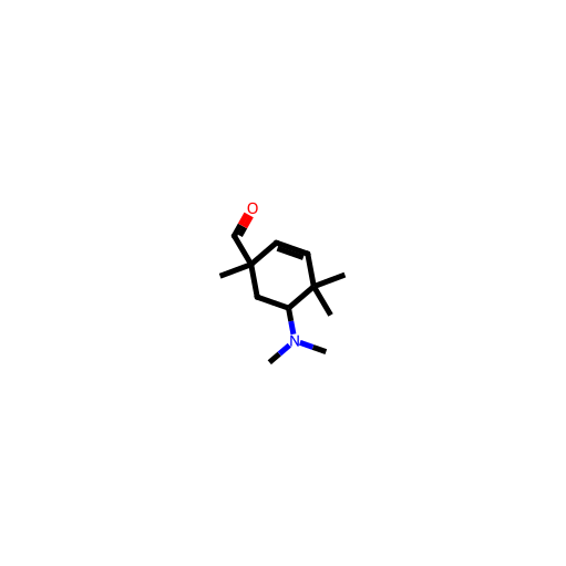 CN(C)C1CC(C)(C=O)C=CC1(C)C